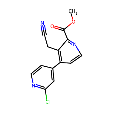 COC(=O)c1nccc(-c2ccnc(Cl)c2)c1CC#N